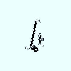 C=CCNCC=C.CCCCCCCCCCCCCCCC[N+](C)(C)Cc1ccccc1.Cl.[Cl-]